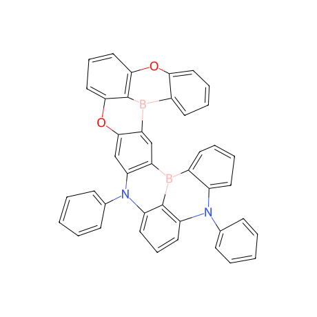 c1ccc(N2c3ccccc3B3c4cc5c(cc4N(c4ccccc4)c4cccc2c43)Oc2cccc3c2B5c2ccccc2O3)cc1